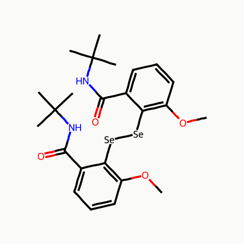 COc1cccc(C(=O)NC(C)(C)C)c1[Se][Se]c1c(OC)cccc1C(=O)NC(C)(C)C